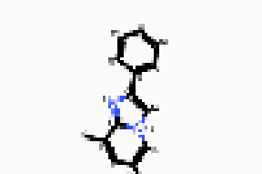 Cc1cc(C)c2nc(-c3ccccc3)cn2c1